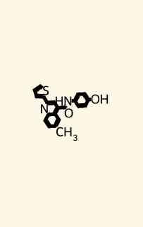 Cc1ccc2nc(-c3cccs3)cc(C(=O)Nc3ccc(O)cc3)c2c1